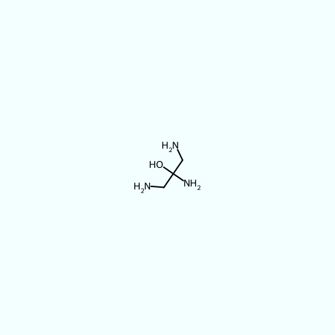 NCC(N)(O)CN